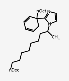 CCCCCCCCCCCCCCCCCC(C)n1ccnc1C1(CCCCCCCC)C=CC=CC1